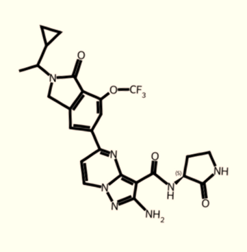 CC(C1CC1)N1Cc2cc(-c3ccn4nc(N)c(C(=O)N[C@H]5CCNC5=O)c4n3)cc(OC(F)(F)F)c2C1=O